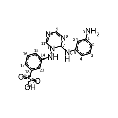 Nc1cccc(NC2N=CN=CN2Nc2cccc(S(=O)(=O)O)c2)c1